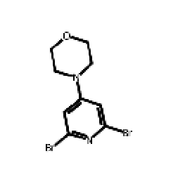 Brc1cc(N2CCOCC2)cc(Br)n1